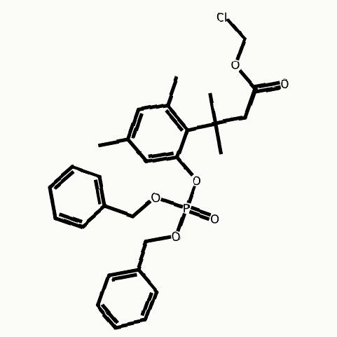 Cc1cc(C)c(C(C)(C)CC(=O)OCCl)c(OP(=O)(OCc2ccccc2)OCc2ccccc2)c1